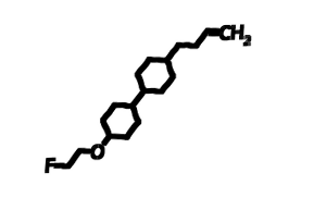 C=CCCC1CCC(C2CCC(OCCF)CC2)CC1